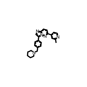 Cc1cc(-c2ccc3ncc(-c4ccc(CN5CCCCC5)cc4)n3n2)ccn1